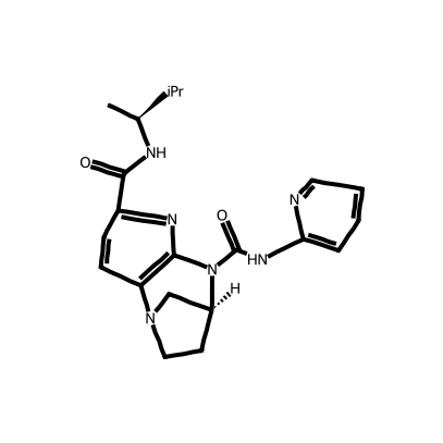 CC(C)[C@H](C)NC(=O)c1ccc2c(n1)N(C(=O)Nc1ccccn1)[C@H]1CCN2C1